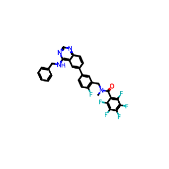 CN(Cc1cc(-c2ccc3ncnc(NCc4ccccc4)c3c2)ccc1F)C(=O)c1c(F)c(F)c(F)c(F)c1F